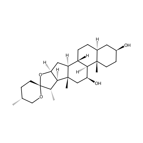 C[C@@H]1CC[C@@]2(OC1)O[C@H]1C[C@H]3[C@@H]4CC[C@H]5C[C@@H](O)CC[C@]5(C)[C@H]4[C@@H](O)C[C@]3(C)[C@H]1[C@@H]2C